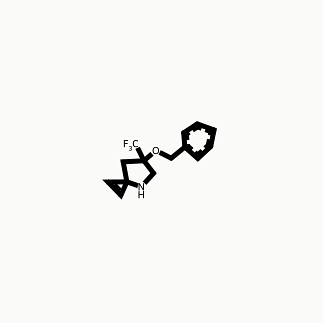 FC(F)(F)C1(OCc2ccccc2)CNC2(C=C2)C1